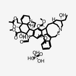 CC[C@]1(O)C[C@H]2C[N@](CCc3c([nH]c4ccccc34)[C@@](C(=O)OC)(c3cc4c(cc3OC)N(C=O)[C@H]3[C@@](O)(C(=O)OC)[C@H](OC(C)=O)[C@]5(CC)C=CCN6CC[C@]43[C@@H]65)C2)C1.O=P(O)(O)O